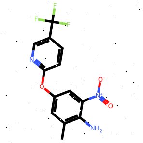 Cc1cc(Oc2ccc(C(F)(F)F)cn2)cc([N+](=O)[O-])c1N